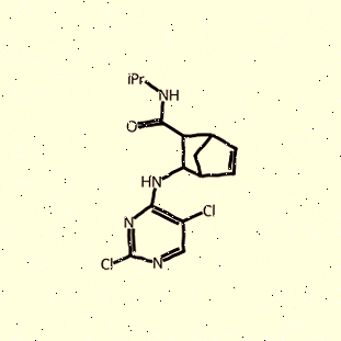 CC(C)NC(=O)C1C2C=CC(C2)C1Nc1nc(Cl)ncc1Cl